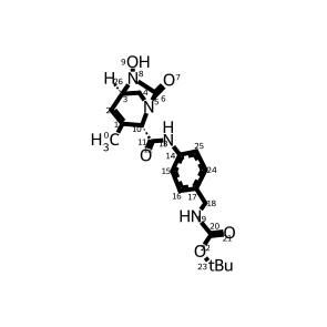 CC1=C[C@@H]2CN(C(=O)N2O)[C@@H]1C(=O)Nc1ccc(CNC(=O)OC(C)(C)C)cc1